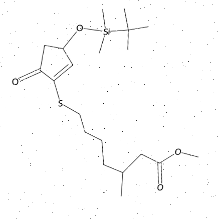 COC(=O)CC(C)CCCCSC1=CC(O[Si](C)(C)C(C)(C)C)CC1=O